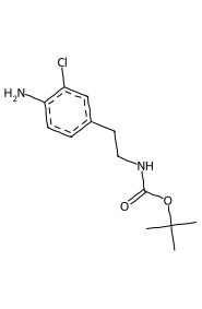 CC(C)(C)OC(=O)NCCc1ccc(N)c(Cl)c1